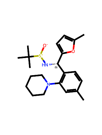 Cc1ccc([C@H](N[S+]([O-])C(C)(C)C)c2ccc(C)o2)c(N2CCCCC2)c1